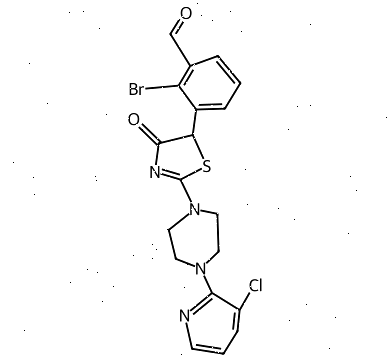 O=Cc1cccc(C2SC(N3CCN(c4ncccc4Cl)CC3)=NC2=O)c1Br